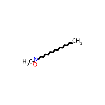 CCCCCCCCCCCCCCCC[N]C(C)=O